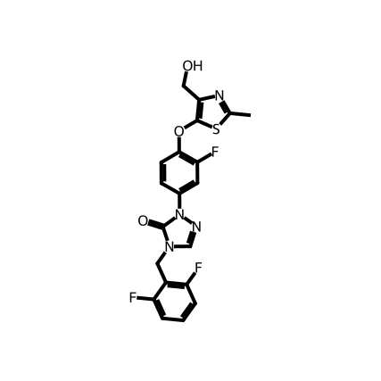 Cc1nc(CO)c(Oc2ccc(-n3ncn(Cc4c(F)cccc4F)c3=O)cc2F)s1